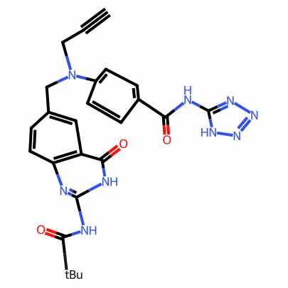 C#CCN(Cc1ccc2nc(NC(=O)C(C)(C)C)[nH]c(=O)c2c1)c1ccc(C(=O)Nc2nnn[nH]2)cc1